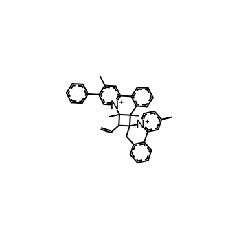 C=CC1C2(C)[n+]3cc(-c4ccccc4)c(C)cc3-c3ccccc3C2(C)C12Cc1ccccc1-c1cc(C)cc[n+]12